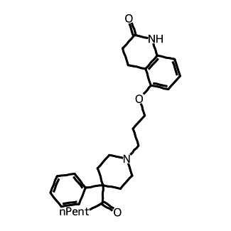 CCCCCC(=O)C1(c2ccccc2)CCN(CCCOc2cccc3c2CCC(=O)N3)CC1